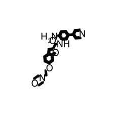 Nc1ccc(-c2ccncc2)cc1NC(=O)c1cc2ccc(OCCN3CCOCC3)cc2o1